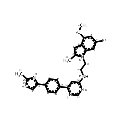 COc1cc(F)cc2c1cc(C)n2CCNc1cc(-c2ccc(-c3c[nH]c(C)n3)cc2)ncn1